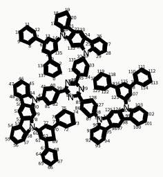 c1ccc(-c2cc(-c3ccccc3)cc(-n3c4ccccc4c4cc5c6ccccc6n(-c6ccc(-c7nc(-c8ccc(-n9c%10ccccc%10c%10cc%11c%12ccccc%12n(-c%12cc(-c%13ccccc%13)cc(-c%13ccccc%13)c%12)c%11cc%109)cc8)nc(-c8ccc(-n9c%10ccccc%10c%10cc%11c%12ccccc%12n(-c%12cc(-c%13ccccc%13)cc(-c%13ccccc%13)c%12)c%11cc%109)cc8)n7)cc6)c5cc43)c2)cc1